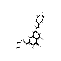 O=c1[nH]c(CSC2CCC2)nc2cc(OCC3CCOCC3)cc(F)c12